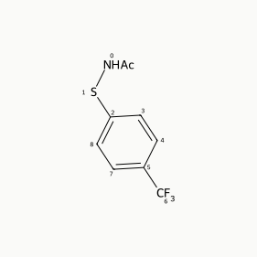 CC(=O)NSc1ccc(C(F)(F)F)cc1